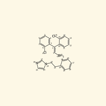 BC=C(c1ccccc1Cl)c1ccccc1Cl.c1ccc(CCn2ccnc2)cc1